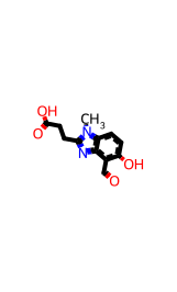 Cn1c(CCC(=O)O)nc2c(C=O)c(O)ccc21